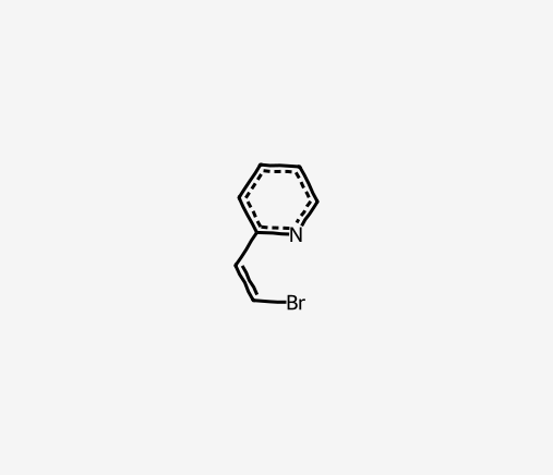 Br/C=C\c1ccccn1